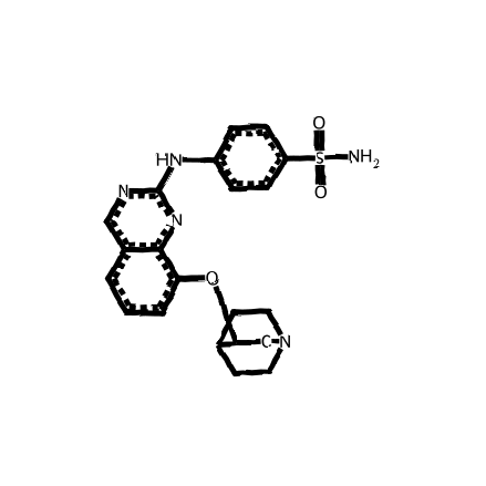 NS(=O)(=O)c1ccc(Nc2ncc3cccc(OC4CN5CCC4CC5)c3n2)cc1